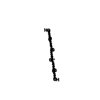 O=C(CSCSCSCC[S+]([O-])CSCSCSCSC(=O)CSCSCSCCOOCCSCSCO)OCCSCSCO